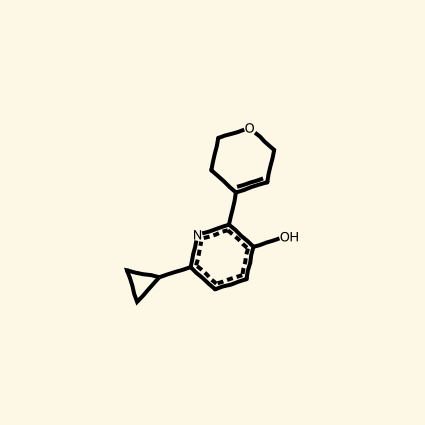 Oc1ccc(C2CC2)nc1C1=CCOCC1